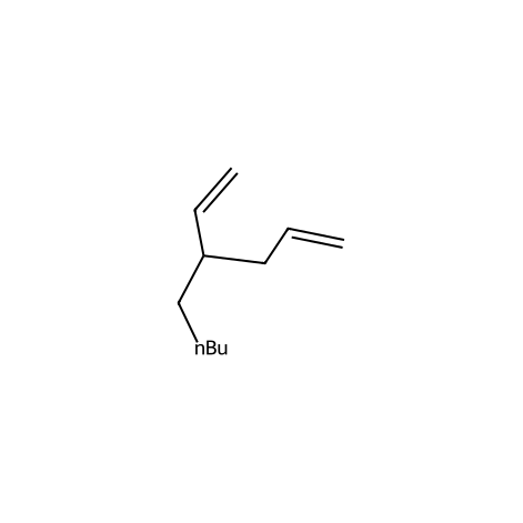 [CH2]CCCCC(C=C)CC=C